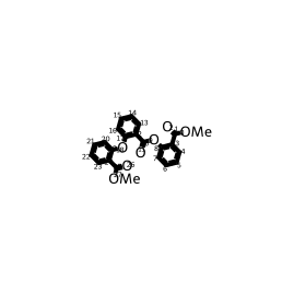 COC(=O)c1ccccc1OC(=O)c1ccccc1Oc1ccccc1C(=O)OC